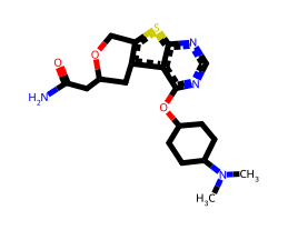 CN(C)C1CCC(Oc2ncnc3sc4c(c23)CC(CC(N)=O)OC4)CC1